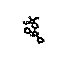 CC(C)n1c(=O)n(C)c2cc(-c3nc(-c4cncnc4)[nH]c3-c3ccccc3)ccc21